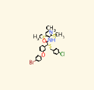 CSc1cc(C)nc(SC)c1NC(=O)C(SCc1ccc(Cl)cc1)c1cccc(Oc2ccc(Br)cc2)c1